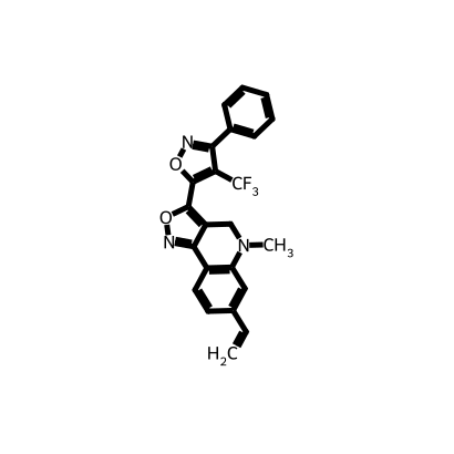 C=Cc1ccc2c(c1)N(C)Cc1c-2noc1-c1onc(-c2ccccc2)c1C(F)(F)F